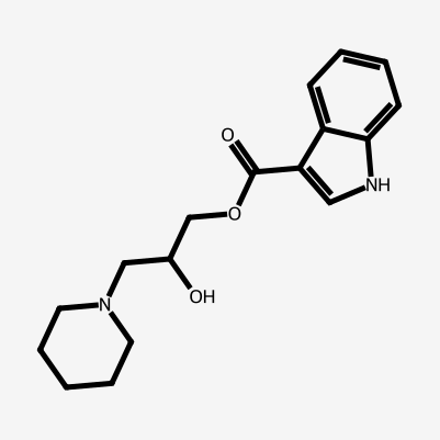 O=C(OCC(O)CN1CCCCC1)c1c[nH]c2ccccc12